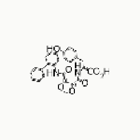 O=C(O)[C@H](Cc1ccc(O)cc1)NC(=O)[C@@H]1OCO[C@H]1C(=O)Nc1ccccc1-c1ccccc1